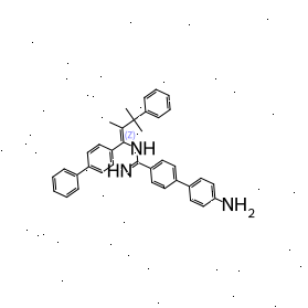 C/C(=C(/NC(=N)c1ccc(-c2ccc(N)cc2)cc1)c1ccc(-c2ccccc2)cc1)C(C)(C)c1ccccc1